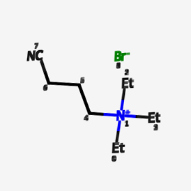 CC[N+](CC)(CC)CCCC#N.[Br-]